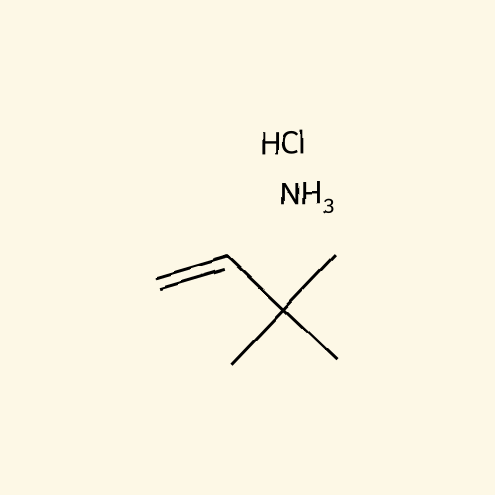 C=CC(C)(C)C.Cl.N